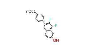 CCCCCCCCc1ccc(-c2cc3ccc(O)cc3c(F)c2F)cc1